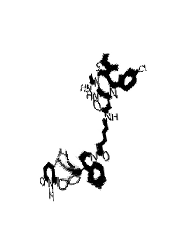 CC(=N)N1C(=N)[C@H](CC(=O)NCCCCCC(=O)N2CC[C@H](C(=O)N[C@H]3CCC(=O)NC3=O)c3ccccc32)N=C(c2ccc(Cl)cc2)c2c1sc(C)c2C